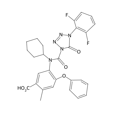 Cc1cc(Oc2ccccc2)c(N(C(=O)n2nnn(-c3c(F)cccc3F)c2=O)C2CCCCC2)cc1C(=O)O